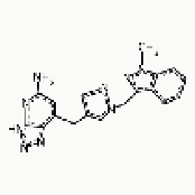 Cn1nc(Cn2cc(Cc3cc(N)nc4[nH]nnc34)cn2)c2ccccc21